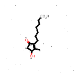 CC1=C(CCCCCCC(=O)O)C(=O)CC1O